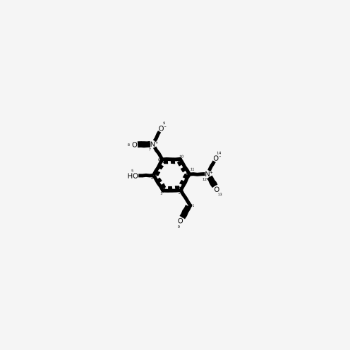 O=[C]c1cc(O)c([N+](=O)[O-])cc1[N+](=O)[O-]